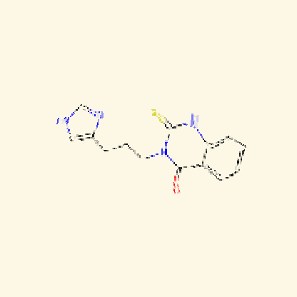 O=c1c2ccccc2[nH]c(=S)n1CCCc1c[nH]cn1